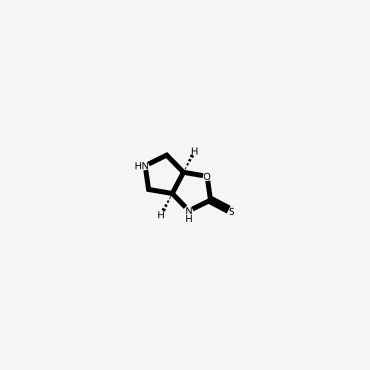 S=C1N[C@H]2CNC[C@H]2O1